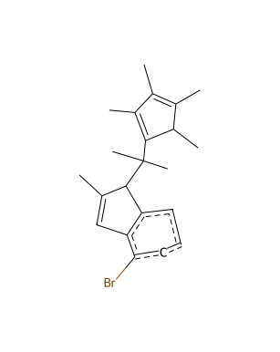 CC1=Cc2c(Br)cccc2C1C(C)(C)C1=C(C)C(C)=C(C)C1C